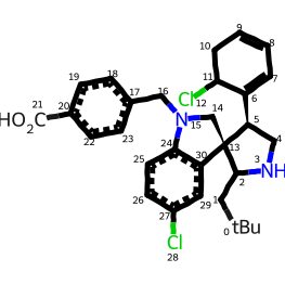 CC(C)(C)CC1NC[C@H](C2=CC=CCC2Cl)[C@]12CN(Cc1ccc(C(=O)O)cc1)c1ccc(Cl)cc12